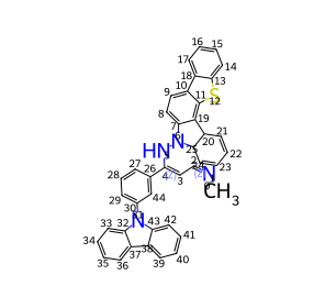 C/N=C\C=C(/NN1c2ccc3c(sc4ccccc43)c2C2C=CC=CC21)c1cccc(-n2c3ccccc3c3ccccc32)c1